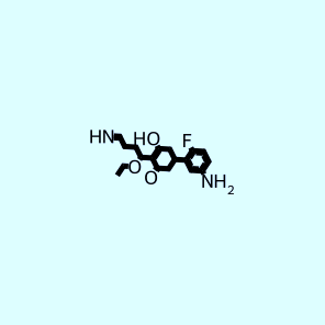 CCOC(CCC=N)C1=C(O)CC(c2cc(N)ccc2F)CC1=O